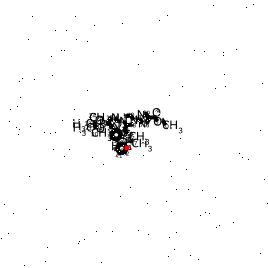 CCOC(=O)c1cnc(N2CCN(c3ncc(B4OC(C)(C)C(C)(C)O4)cn3)C(CO[Si](c3ccccc3)(c3ccccc3)C(C)(C)C)C2)nc1